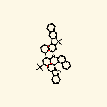 CC(C)(C)c1ccc(N(c2ccc3c(c2)C(C)(C)c2cc4ccccc4cc2-3)c2ccc3ccccc3c2-c2cccc3c2oc2ccccc23)c(-c2ccccc2)c1